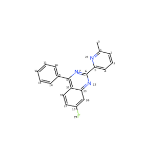 Cc1cccc(-c2nc(-c3ccccc3)c3ccc(F)cc3n2)n1